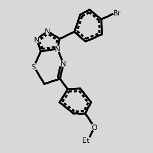 CCOc1ccc(C2=Nn3c(nnc3-c3ccc(Br)cc3)SC2)cc1